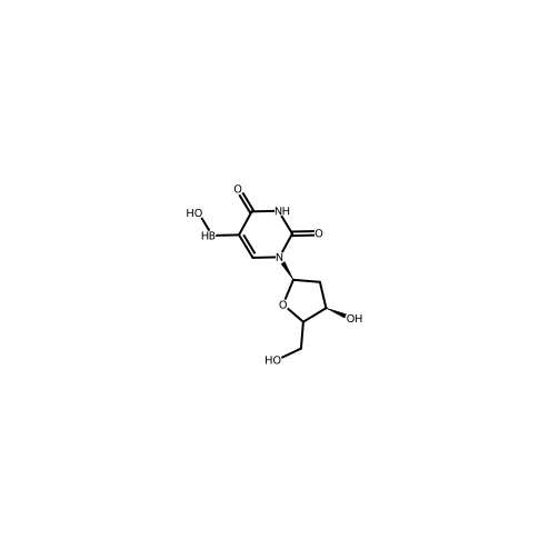 O=c1[nH]c(=O)n([C@H]2C[C@@H](O)C(CO)O2)cc1BO